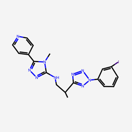 CC(CNc1nnc(-c2ccncc2)n1C)c1nnn(-c2cccc(I)c2)n1